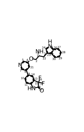 N[C@@H](COc1cncc(-c2ccc3c(c2)C(F)(F)C(=O)N3)c1)Cc1c[nH]c2ccccc12